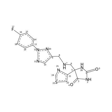 O=C1NC(=O)C(CNCc2cnn(-c3ccc(F)cc3)n2)(c2cscn2)N1